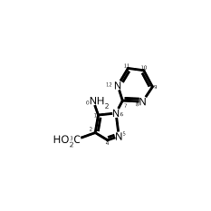 Nc1c(C(=O)O)cnn1-c1ncccn1